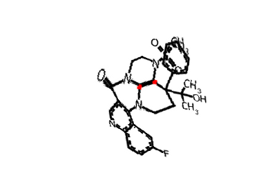 CC(C)(O)C1(c2ccccc2)CCN(c2c(C(=O)N3CCN(S(C)(=O)=O)CC3)cnc3ccc(F)cc23)CC1